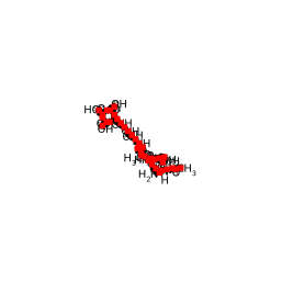 CCC(=O)NCCNC(=O)/N=C(/N)NCCC[C@@H](NC(=O)C(C)c1ccc(NCCCNC(=O)NOCCNC(=O)CN2CCN(CC(=O)O)CCN(CC(=O)O)CCN(CC(=O)O)CC2)cc1)C(=O)NCc1ccc(O)cc1